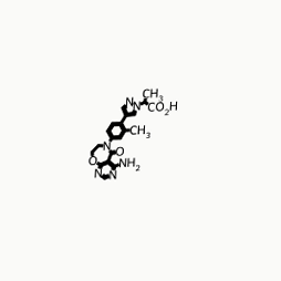 Cc1cc(N2CCOc3ncnc(N)c3C2=O)ccc1-c1cnn(C(C)C(=O)O)c1